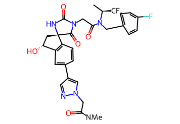 CNC(=O)Cn1cc(-c2ccc3c(c2)[C@H](O)C[C@]32NC(=O)N(CC(=O)N(Cc3ccc(F)cc3)[C@@H](C)C(F)(F)F)C2=O)cn1